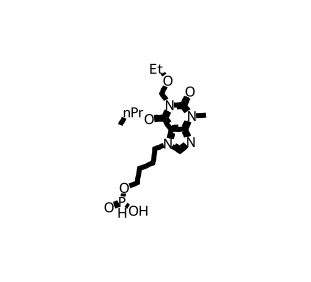 CCCC.CCOCn1c(=O)c2c(ncn2CCCCO[PH](=O)O)n(C)c1=O